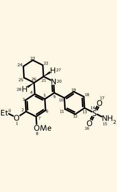 CCOc1cc2c(cc1OC)C(c1ccc(S(N)(=O)=O)cc1)=N[C@H]1CCCC[C@@H]21